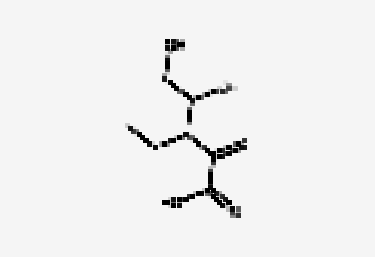 C=C(C(=O)O)C(CC)C(O)CO